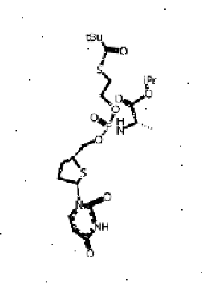 CC(C)OC(=O)[C@H](C)NP(=O)(OCCSC(=O)C(C)(C)C)OC[C@@H]1CC[C@H](n2ccc(=O)[nH]c2=O)S1